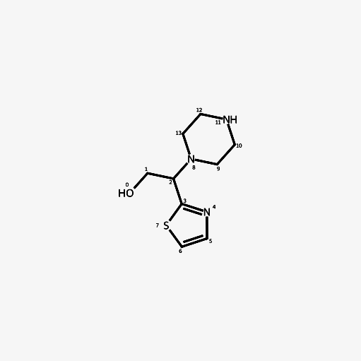 OCC(c1nccs1)N1CCNCC1